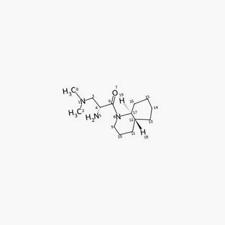 CN(C)C[C@@H](N)C(=O)N1CCC[C@H]2CCCC[C@@H]21